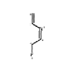 C=C/N=C\CF